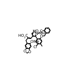 CCCCn1ncc(C=C(Cc2cc3c(cc2OC)OCO3)C(=O)O)c1-c1cc(Cl)c(C)cc1OCc1ccccc1C(=O)O